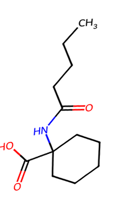 CCCCC(=O)NC1(C(=O)O)CCCCC1